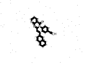 C#Cc1ccc(-n2c(/C=C/c3ccc4ccccc4c3)nc3ncccc3c2=O)cc1